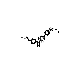 COc1ccc(-c2cnc(Nc3ccc(CCO)cc3)nc2)cc1